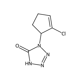 O=c1[nH]nnn1C1CCC=C1Cl